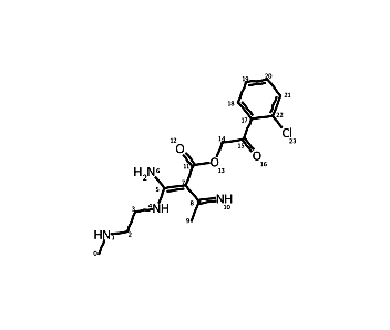 CNCCN/C(N)=C(\C(C)=N)C(=O)OCC(=O)c1ccccc1Cl